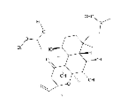 C=C[C@@]1(C)CC(=O)[C@@]2(O)[C@@]3(C)[C@@H](O)CCC(C)(C)[C@@H]3[C@H](O)[C@H](O)[C@@]2(C)O1.CCOC(C)OCC.CN(C)C=O